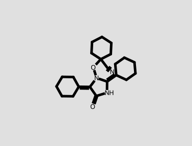 N#CC1(On2c(=C3CCCCC3)[nH]c(=O)c2=C2CCCCC2)CCCCC1